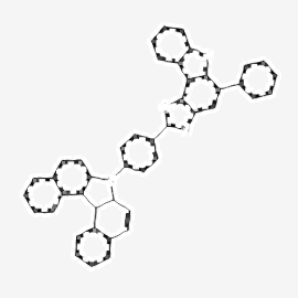 C1=CC2C(c3ccccc31)c1c(ccc3ccccc13)N2c1ccc(-c2nc3cc(-c4ccccc4)c4sc5ccccc5c4c3o2)cc1